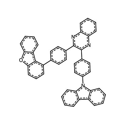 c1ccc2nc(-c3ccc(-n4c5ccccc5c5ccccc54)cc3)c(-c3ccc(-c4cccc5oc6ccccc6c45)cc3)nc2c1